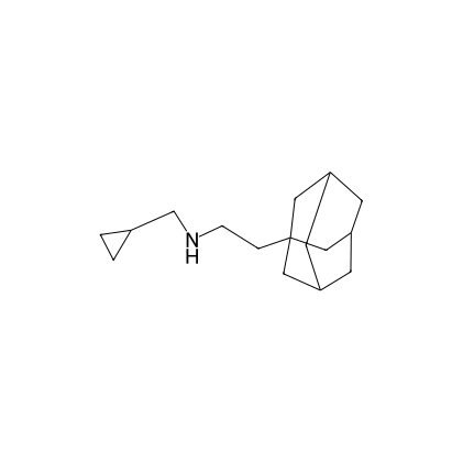 C(CC12CC3CC(CC(C3)C1)C2)NCC1CC1